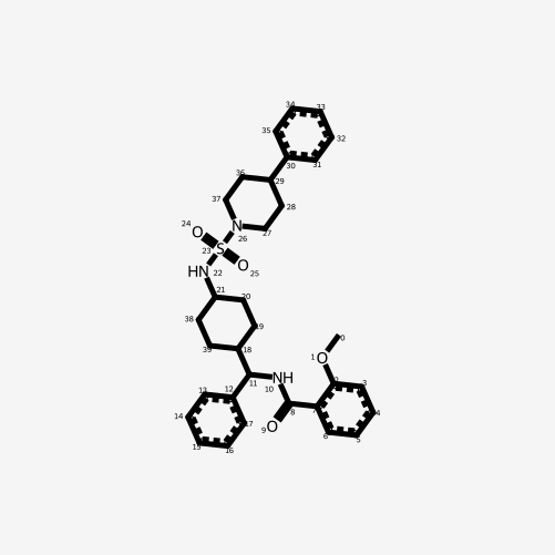 COc1ccccc1C(=O)NC(c1ccccc1)C1CCC(NS(=O)(=O)N2CCC(c3ccccc3)CC2)CC1